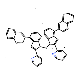 C1=C(c2ccccn2)[CH]([Zr][CH]2C(c3ccccn3)=Cc3c(-c4ccc5ccccc5c4)cccc32)c2cccc(-c3ccc4ccccc4c3)c21